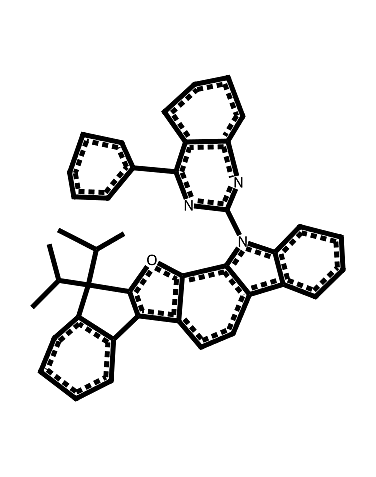 CC(C)C1(C(C)C)c2ccccc2-c2c1oc1c2ccc2c3ccccc3n(-c3nc(-c4ccccc4)c4ccccc4n3)c21